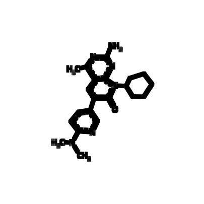 Cc1nc(N)nc2c1cc(-c1ccc(N(C)C)nc1)c(=O)n2C1CCCCC1